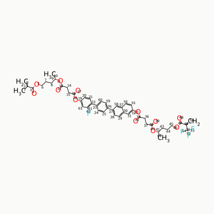 C=C(C)C(=O)OCCCC(C)OC(=O)CCC(=O)Oc1ccc(-c2ccc(-c3ccc4cc(OC(=O)CCC(=O)OC(C)CCCOC(=O)C(=C)C(F)(F)F)ccc4c3)cc2)c(F)c1